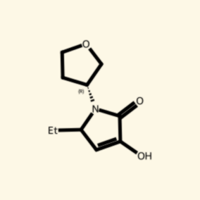 CCC1C=C(O)C(=O)N1[C@@H]1CCOC1